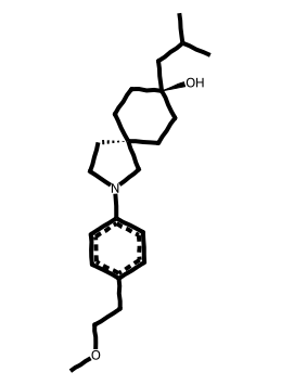 COCCc1ccc(N2CC[C@]3(CC[C@@](O)(CC(C)C)CC3)C2)cc1